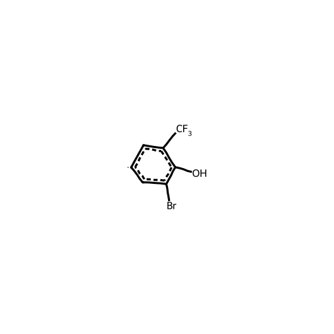 Oc1c(Br)c[c]cc1C(F)(F)F